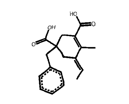 CC=C1CC(Cc2ccccc2)(C(=O)O)CC(C(=O)O)=C1C